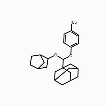 CCC(C)c1ccc(OC(OC2CC3CCC2C3)C23CC4CC(CC(C4)C2)C3)cc1